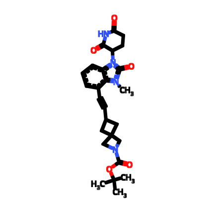 Cn1c(=O)n(C2CCC(=O)NC2=O)c2cccc(C#CC3CC4(C3)CN(C(=O)OC(C)(C)C)C4)c21